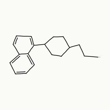 [CH2]CCC1CCC(c2cccc3ccccc23)CC1